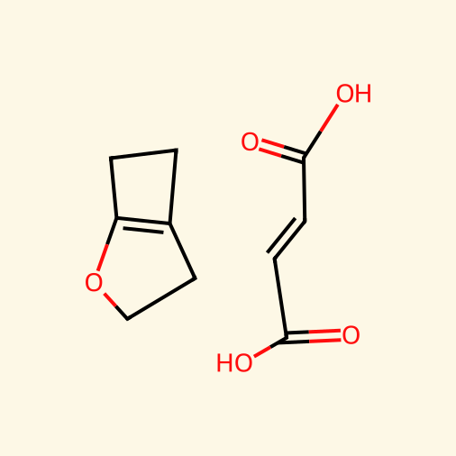 C1CC2=C(CC2)O1.O=C(O)/C=C/C(=O)O